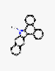 Cn1c2cc3ccccc3cc2c2c3ccccc3c3ccccc3c21